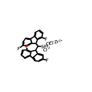 Fc1ccc2c(c1)C(C([SiH2]Cl)C1c3cc(F)ccc3-c3cccc(F)c31)c1c(F)cccc1-2.[Cl-].[Cl-].[Zr+2]